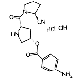 Cl.Cl.N#C[C@@H]1CCCN1C(=O)[C@@H]1C[C@H](OC(=O)c2ccc(N)cc2)CN1